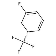 FC1=CC=C[C@H](C(F)(F)F)C1